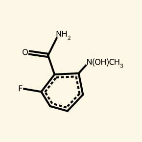 CN(O)c1cccc(F)c1C(N)=O